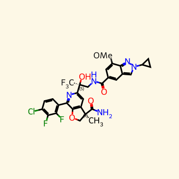 COc1cc(C(=O)NC[C@](O)(c2cc3c(c(-c4ccc(Cl)c(F)c4F)n2)OC[C@]3(C)C(N)=O)C(F)(F)F)cc2cn(C3CC3)nc12